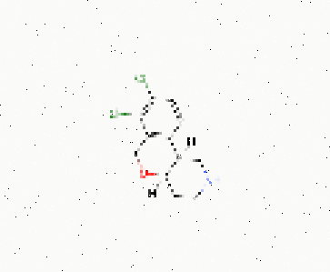 Clc1ccc2c(c1Cl)CO[C@@H]1CCNC[C@H]21